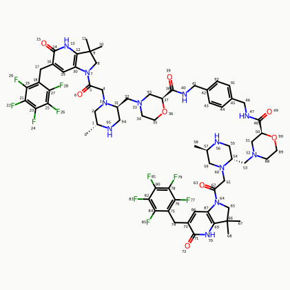 C[C@@H]1CN(CC(=O)N2CC(C)(C)c3[nH]c(=O)c(Cc4c(F)c(F)c(F)c(F)c4F)cc32)[C@@H](CN2CCO[C@H](C(=O)NCc3ccc(CNC(=O)[C@@H]4CN(C[C@H]5CN[C@H](C)CN5CC(=O)N5CC(C)(C)c6[nH]c(=O)c(Cc7c(F)c(F)c(F)c(F)c7F)cc65)CCO4)cc3)C2)CN1